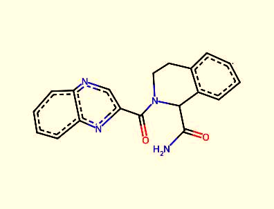 NC(=O)C1c2cc[c]cc2CCN1C(=O)c1cnc2ccccc2n1